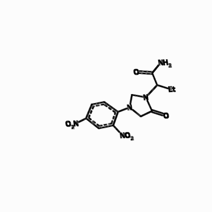 CCC(C(N)=O)N1CN(c2ccc([N+](=O)[O-])cc2[N+](=O)[O-])CC1=O